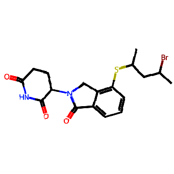 CC(Br)CC(C)Sc1cccc2c1CN(C1CCC(=O)NC1=O)C2=O